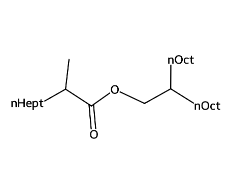 CCCCCCCCC(CCCCCCCC)COC(=O)C(C)CCCCCCC